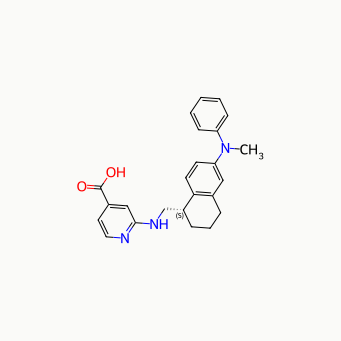 CN(c1ccccc1)c1ccc2c(c1)CCC[C@@H]2CNc1cc(C(=O)O)ccn1